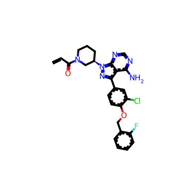 C=CC(=O)N1CCC[C@@H](n2nc(-c3ccc(OCc4ccccc4F)c(Cl)c3)c3c(N)ncnc32)C1